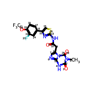 Cn1c(=O)[nH]c2ncc(CC(=O)Nc3nc(-c4ccc(OC(F)(F)F)c(F)c4)cs3)n2c1=O